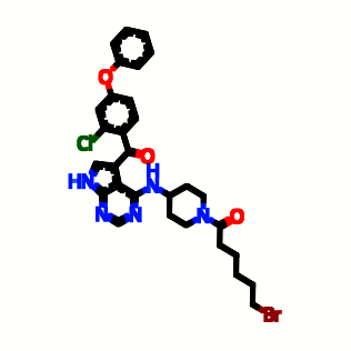 O=C(c1ccc(Oc2ccccc2)cc1Cl)c1c[nH]c2ncnc(NC3CCN(C(=O)CCCCCBr)CC3)c12